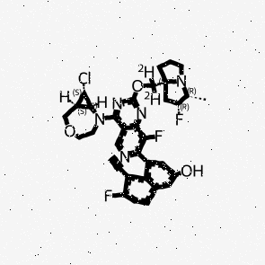 [2H]C([2H])(Oc1nc(N2CCOC[C@H]3[C@H](Cl)[C@H]32)c2cnc(-c3cc(O)cc4ccc(F)c(C#C)c34)c(F)c2n1)[C@@]12CCCN1[C@H](C)[C@H](F)C2